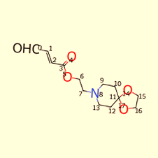 O=C/C=C/C(=O)OCCN1CCC2(CC1)OCCO2